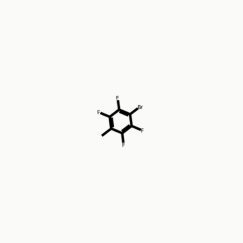 Cc1c(F)c(F)c(Br)c(F)c1F